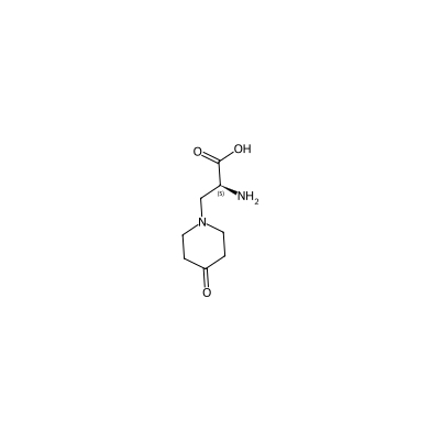 N[C@@H](CN1CCC(=O)CC1)C(=O)O